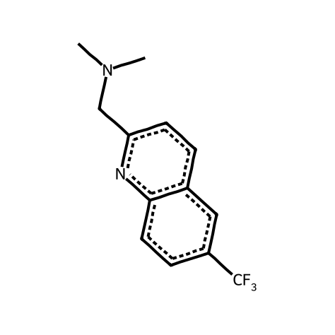 CN(C)Cc1ccc2cc(C(F)(F)F)ccc2n1